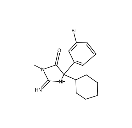 CN1C(=N)NC(c2cccc(Br)c2)(C2CCCCC2)C1=O